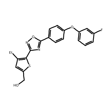 CCc1cc(CO)sc1-c1noc(-c2ccc(Oc3cccc(F)c3)cc2)n1